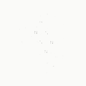 C/C=C\c1cn(-c2nc(-c3c(-c4ccccc4)cccc3-c3ccccc3)nc(-n3c4ccccc4c4ccccc43)n2)c2ccccc12